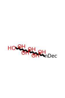 CCCCCCCCCCCCCC(O)CCC(O)CCC(O)CCC(O)CCC(O)CCO